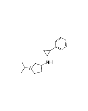 CC(C)N1CCC(NC2CC2c2ccccc2)C1